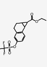 CCOC(=O)C1C2CCc3cc(OS(=O)(=O)C(F)(F)F)ccc3C21